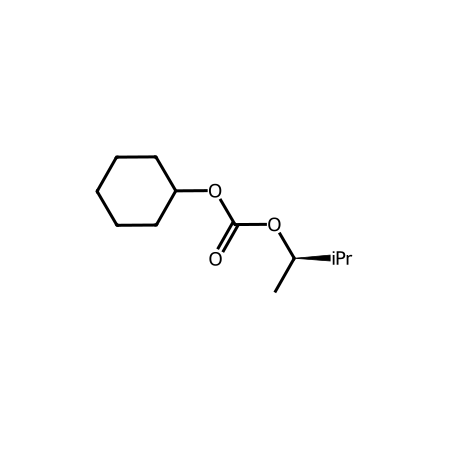 CC(C)[C@@H](C)OC(=O)OC1CCCCC1